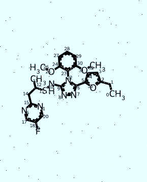 CCc1ccc(-c2nnc(NSC(C)Cc3ncc(F)cn3)n2-c2c(OC)cccc2OC)o1